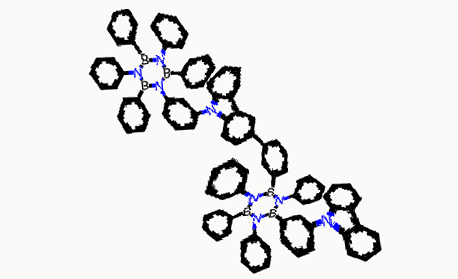 c1ccc(B2N(c3ccccc3)B(c3cccc(-c4ccc5c(c4)c4ccccc4n5-c4cccc(N5B(c6ccccc6)N(c6ccccc6)B(c6ccccc6)N(c6ccccc6)B5c5ccccc5)c4)c3)N(c3ccccc3)B(c3cccc(-n4c5ccccc5c5ccccc54)c3)N2c2ccccc2)cc1